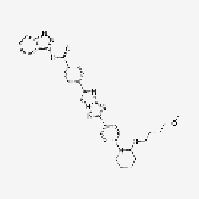 COCCCCOC1CCCCN1c1ccc(-c2nn3cc(-c4ccc(C(=O)On5nnc6ccccc65)cc4)nc3s2)cc1